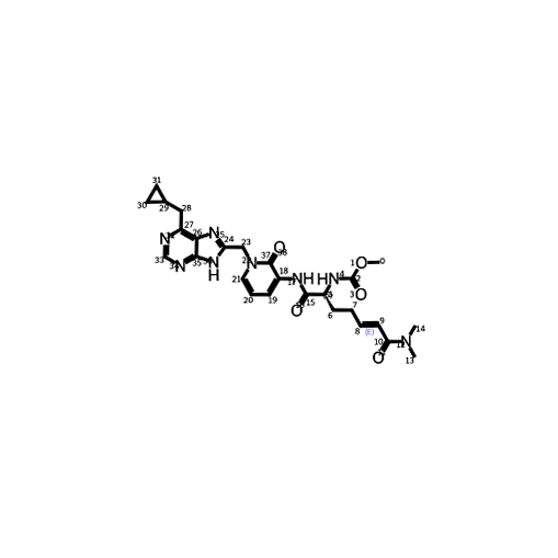 COC(=O)N[C@@H](CC/C=C/C(=O)N(C)C)C(=O)Nc1cccn(Cc2nc3c(CC4CC4)ncnc3[nH]2)c1=O